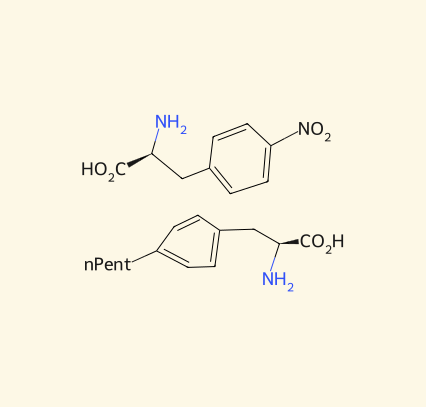 CCCCCc1ccc(C[C@H](N)C(=O)O)cc1.N[C@@H](Cc1ccc([N+](=O)[O-])cc1)C(=O)O